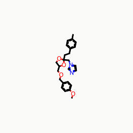 COc1ccc(COCC2COC(CCc3ccc(C)cc3)(Cn3ccnc3)O2)cc1